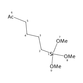 CO[Si](CCCCC(C)=O)(OC)OC